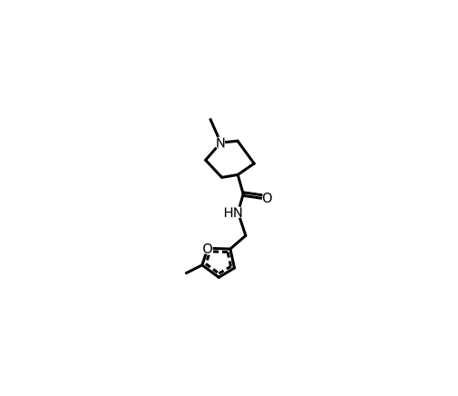 Cc1ccc(CNC(=O)C2CCN(C)CC2)o1